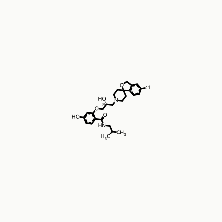 CC(C)CNC(=O)c1ccc(O)cc1OC[C@H](O)CN1CCC2(CC1)OCc1cc(Cl)ccc12